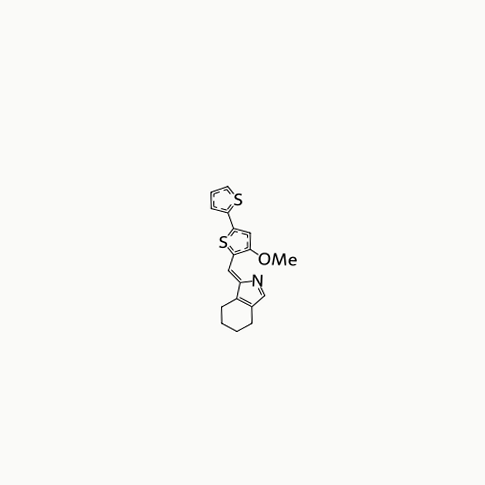 COc1cc(-c2cccs2)sc1C=C1N=CC2=C1CCCC2